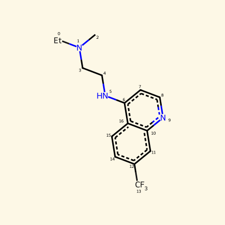 CCN(C)CCNc1ccnc2cc(C(F)(F)F)ccc12